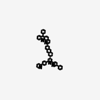 c1ccc(-c2ccc(-c3cc(-c4ccc5cc6cc(-c7ccc8ccc9c(-c%10ccccc%10)c%10ccccc%10nc9c8n7)ccc6cc5c4)cc(-c4ccc(-c5ccccn5)cc4)n3)nc2)cc1